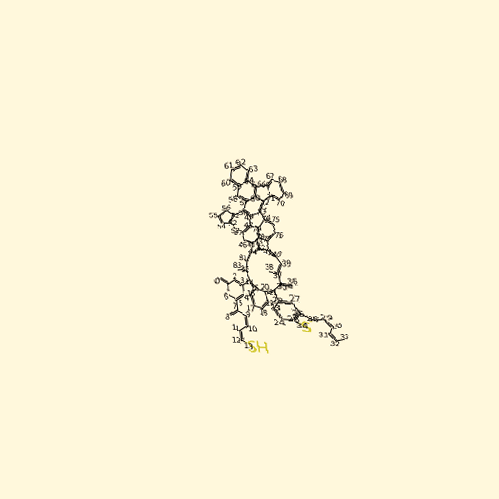 C=C/C=C(\C=C(/C)C(=C)/C=C\C=C/S)C1=c2\cccc\c2=C(/c2ccc3c(c2)C(/C=C\C=C/C)S3)C(=C)/C(C)=C/C=c2\c(=C)/c(c3ccc4c5c(C6=C(C)C=C=C6)c6cc7ccccc7c7c8ccccc8c(c5c5ccc2c3c45)c67)=C\C\1C